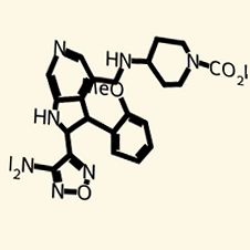 COc1ccccc1C1c2c(CNC3CCN(C(=O)O)CC3)cncc2NC1c1nonc1N